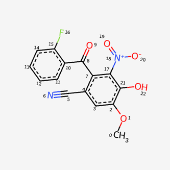 COc1cc(C#N)c(C(=O)c2ccccc2F)c([N+](=O)[O-])c1O